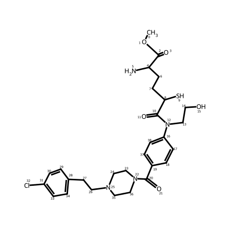 COC(=O)C(N)CCC(S)C(=O)N(CCO)c1ccc(C(=O)N2CCN(CCc3ccc(Cl)cc3)CC2)cc1